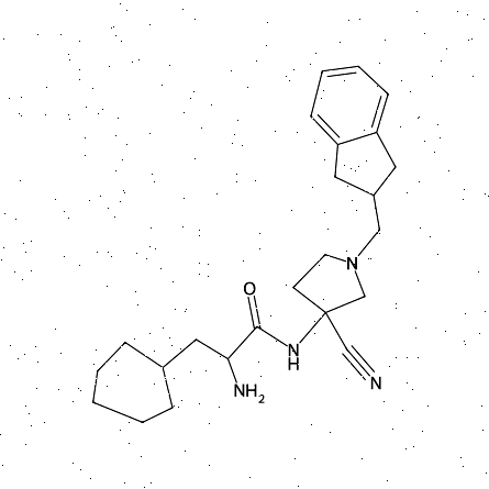 N#CC1(NC(=O)C(N)CC2CCCCC2)CCN(CC2Cc3ccccc3C2)C1